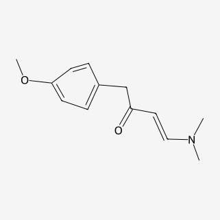 COc1ccc(CC(=O)/C=C/N(C)C)cc1